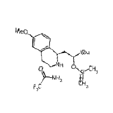 COc1ccc2c(c1)CCN[C@@H]2CC(O[SiH](C)C)C(C)(C)C.NC(=O)C(F)(F)F